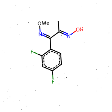 CON=C(C(C)=NO)c1ccc(F)cc1F